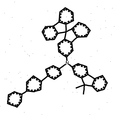 CC1(C)c2ccccc2-c2ccc(N(c3ccc(-c4ccc(-c5ccccc5)cc4)cc3)c3ccc4c(c3)-c3ccccc3C43c4ccccc4-c4ccccc43)cc21